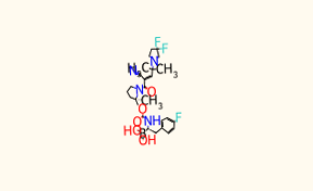 CC(C)(/C=C(\C#N)C(=O)N1CCC[C@]1(C)COC(=O)N[C@@H](Cc1ccc(F)cc1)B(O)O)N1CCC(F)(F)C1